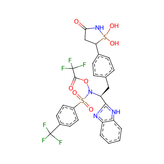 O=C1CC(c2ccc(C[C@@H](c3nc4ccccc4[nH]3)N(OC(=O)C(F)(F)F)S(=O)(=O)c3ccc(C(F)(F)F)cc3)cc2)S(O)(O)N1